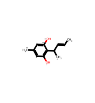 CC=CC(C)c1c(O)cc(C)cc1O